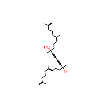 C=C(C)CCCC(C)=CCCC(C)(O)C#CC#CC(C)(O)CCC=C(C)CCCC(=C)C